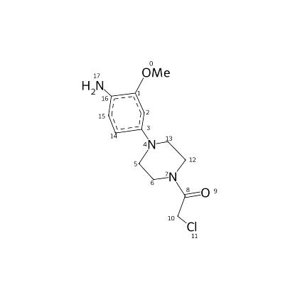 COc1cc(N2CCN(C(=O)CCl)CC2)ccc1N